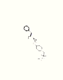 CC/C(=C\c1ccccc1)[C@@H]1C[C@H]1NC1CCN(CC(C)(C)NS(C)(=O)=O)CC1